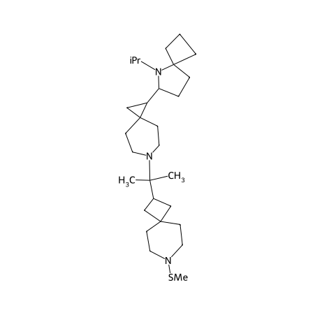 CSN1CCC2(CC1)CC(C(C)(C)N1CCC3(CC1)CC3C1CCC3(CCC3)N1C(C)C)C2